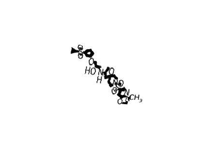 CN1CCOc2cc(S(=O)(=O)N3CCC4(CC3)C[C@@H](NCC(O)COc3cccc(S(=O)(=O)C5CC5)c3)CO4)cnc21